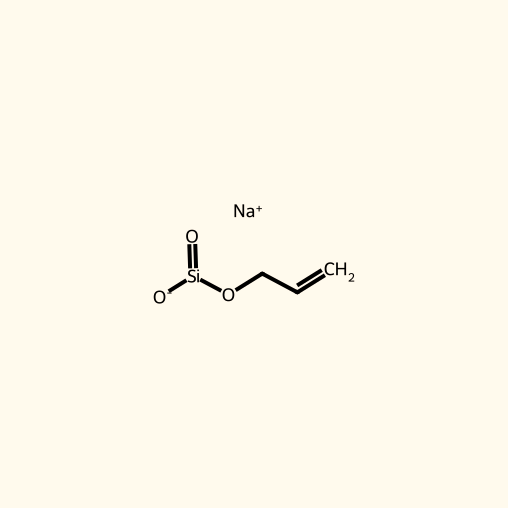 C=CCO[Si](=O)[O-].[Na+]